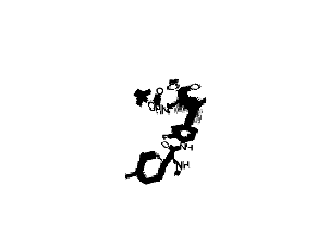 CN[C@H](C(=O)Nc1ccc([C@H](C)[C@@H](NC(=O)OC(C)(C)C)C(=O)OC)cc1F)[C@H]1CC[C@H](C)CC1